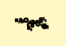 COc1cccc(C(C)N2CCN(c3ccc(-c4cn[nH]c4)c(OC)n3)C2=O)c1